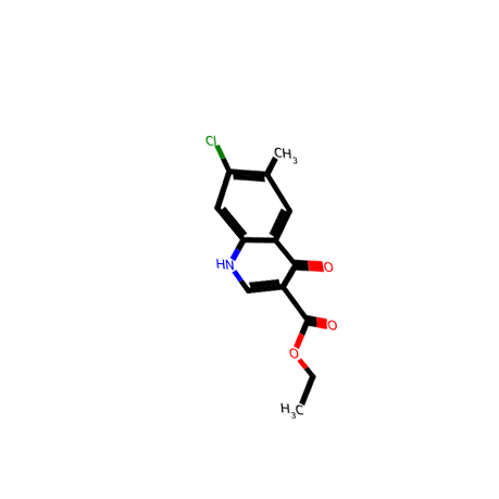 CCOC(=O)c1c[nH]c2cc(Cl)c(C)cc2c1=O